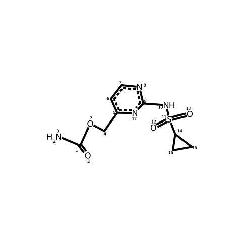 NC(=O)OCc1ccnc(NS(=O)(=O)C2CC2)n1